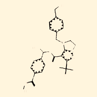 CCc1ccc(CN2CCn3nc(C(F)(F)F)c(C(=O)NC(C)c4ccc(C(=O)OC)cc4)c32)cc1